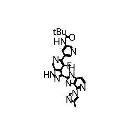 Cc1cn(-c2nccc3[nH]c(-c4n[nH]c5cnc(-c6cncc(NC(=O)C(C)(C)C)c6)c(F)c45)nc23)cn1